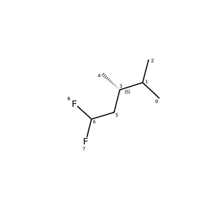 CC(C)[C@@H](C)CC(F)F